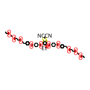 C=CC(=O)OCCOC(=O)CCC(=O)OCCc1ccc(OC(=O)[C@H]2CC[C@H](C(=O)Oc3cc(OCC)c(OC(=O)[C@H]4CC[C@H](C(=O)Oc5ccc(CCOC(=O)CCC(=O)OCCOC(=O)C=C)cc5)CC4)c4c3SC(=C(C#N)C#N)S4)CC2)cc1